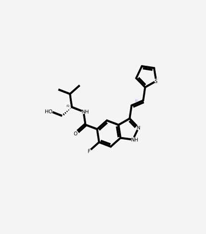 CC(C)[C@@H](CO)NC(=O)c1cc2c(/C=C/c3cccs3)n[nH]c2cc1F